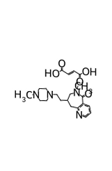 CN1CCN(CCC2Cc3ncccc3C(=O)N(C)C2)CC1.O=C(O)C=CC(=O)O